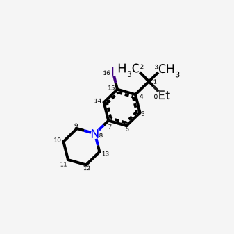 CCC(C)(C)c1ccc(N2CCCCC2)cc1I